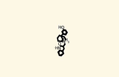 CC1C2CCCC1(c1cccc(O)c1)CCN2CC(Cc1ccccc1)C([NH])=O